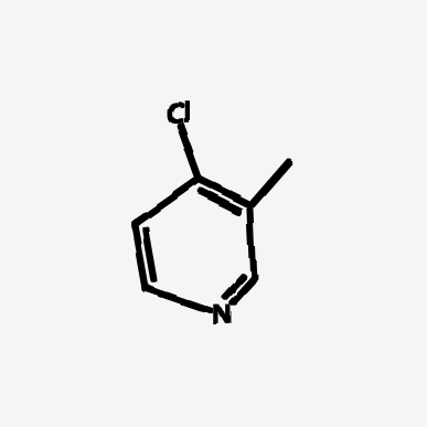 Cc1cnccc1Cl